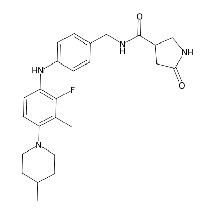 Cc1c(N2CCC(C)CC2)ccc(Nc2ccc(CNC(=O)C3CNC(=O)C3)cc2)c1F